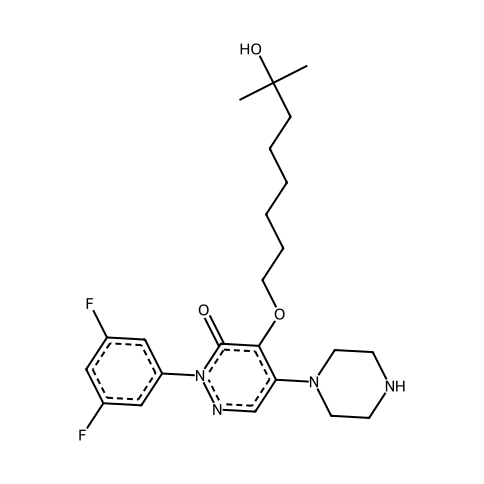 CC(C)(O)CCCCCCOc1c(N2CCNCC2)cnn(-c2cc(F)cc(F)c2)c1=O